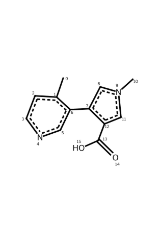 Cc1ccncc1-c1cn(C)cc1C(=O)O